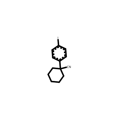 N#CC1(c2ccc(I)cc2)CCCCC1